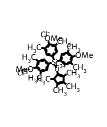 COc1c(C)cc([Si]([Ti+3][C]2=C(C)C(C)=C(C)C2C)(c2cc(C)c(OC)c(C)c2)c2cc(C)c(OC)c(C)c2)cc1C.[Cl-].[Cl-].[Cl-]